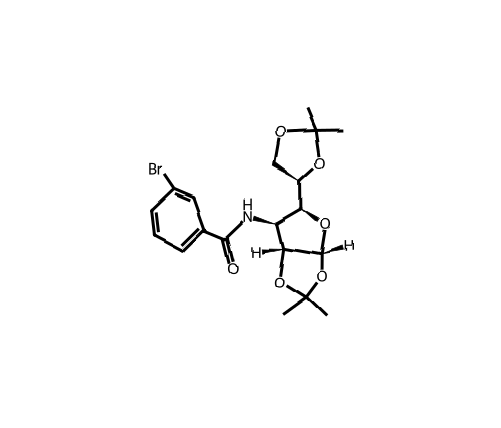 CC1(C)O[C@H]2O[C@H]([C@H]3COC(C)(C)O3)[C@H](NC(=O)c3cccc(Br)c3)[C@H]2O1